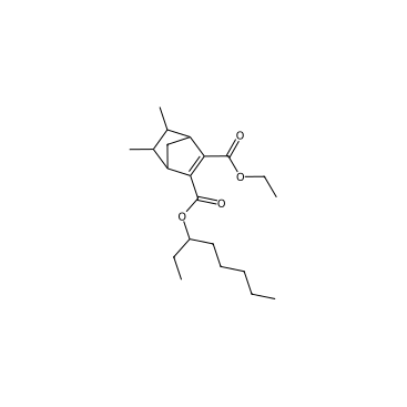 CCCCCC(CC)OC(=O)C1=C(C(=O)OCC)C2CC1C(C)C2C